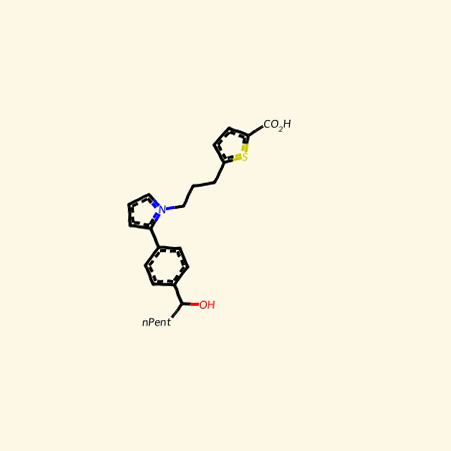 CCCCCC(O)c1ccc(-c2cccn2CCCc2ccc(C(=O)O)s2)cc1